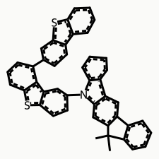 CC1(C)c2ccccc2-c2cc3c4ccccc4n(-c4ccc5sc6cccc(-c7ccc8c(c7)sc7ccccc78)c6c5c4)c3cc21